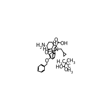 CC(C)(C)C(=O)O.N[C@@H]1CC[C@H]2[C@@]34c5c(ccc(OCc6ccccc6)c5O[C@@H]13)C[C@@]2(C(=O)O)N(CC1CC1)CC4(F)F